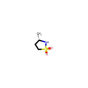 C[C@H]1CCS(=O)(=O)N1